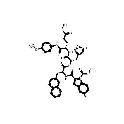 CC(C)(C)OC(=O)CC[C@H](NC(=O)[C@H](Cc1nn[nH]n1)NC(=O)[C@H](Cc1ccc2ccccc2c1)NC(=O)c1cc2cc(Cl)ccc2n1C(=O)OC(C)(C)C)C(=O)Nc1ccc(OC(F)(F)F)cc1